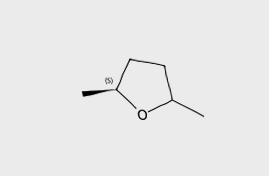 CC1CC[C@H](C)O1